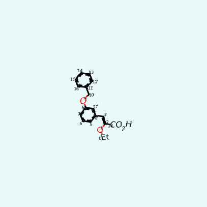 CCOC(=Cc1cccc(OCc2ccccc2)c1)C(=O)O